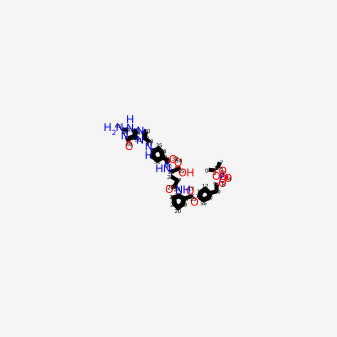 CCOP(=O)(OCC)OCCc1ccc(OC(=O)c2ccccc2NC(=O)CC[C@H](NC(=O)c2ccc(NCc3cnc4[nH]c(N)nc(=O)c4n3)cc2)C(=O)O)cc1